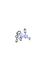 C1=CC(C2N3C(c4ccccc4)=NC(c4ccccc4)N23)NC(n2c3ccccc3c3ccc4c5ccccc5n(-c5ccccc5)c4c32)=C1